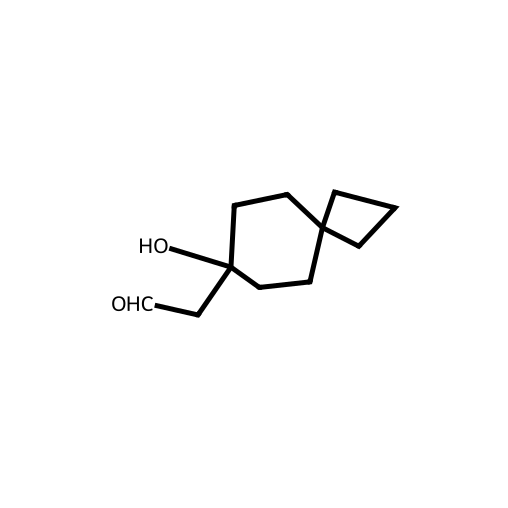 O=CCC1(O)CCC2(CCC2)CC1